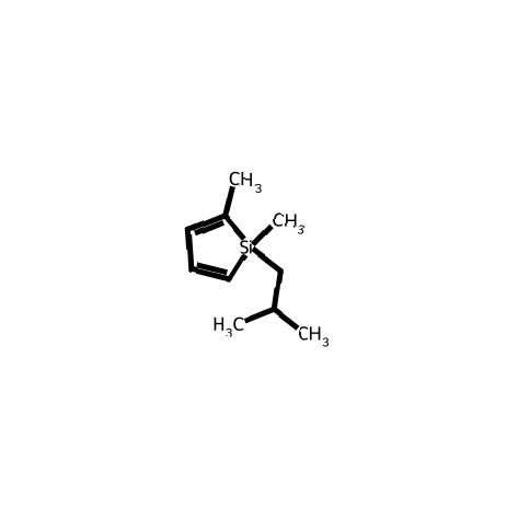 CC1=CC=C[Si]1(C)CC(C)C